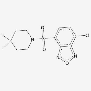 CC1(C)CCN(S(=O)(=O)c2ccc(Cl)c3nonc23)CC1